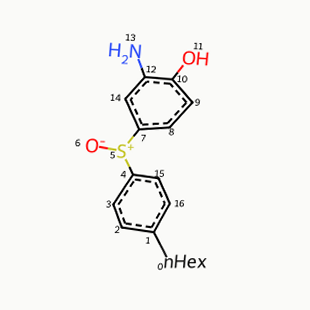 CCCCCCc1ccc([S+]([O-])c2ccc(O)c(N)c2)cc1